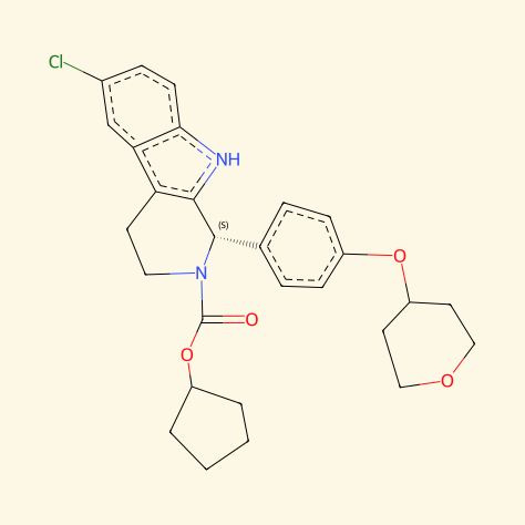 O=C(OC1CCCC1)N1CCc2c([nH]c3ccc(Cl)cc23)[C@@H]1c1ccc(OC2CCOCC2)cc1